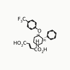 FC(F)(F)c1ccc(O[C@H]2CCNC[C@H]2c2ccccc2)cc1.O=C(O)C=CC(=O)O